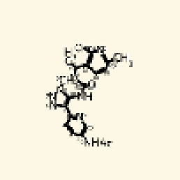 CC(=O)Nc1ccc(-c2nnn(C)c2NC(=O)OC(C)c2ccc(C)nc2Cl)nc1